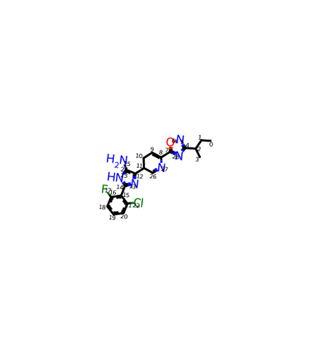 CCC(C)c1noc(C2=CCC(c3nc(-c4c(F)cccc4Cl)[nH]c3N)C=N2)n1